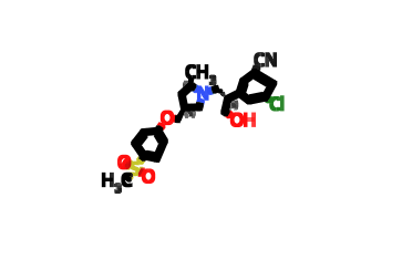 C[C@@H]1C[C@H](COc2ccc(S(C)(=O)=O)cc2)CN1C[C@@H](CO)c1cc(Cl)cc(C#N)c1